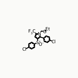 CCOCn1c(C(F)(F)F)cc([S+]([O-])c2ccc(Cl)cc2)c1-c1ccc(Cl)cc1